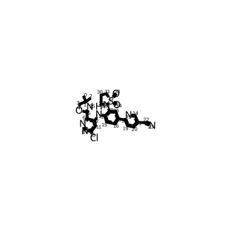 CC1(C)COC(c2nnc(Cl)cc2Nc2ccc(-c3ccc(C#N)cn3)cc2N2CCCS2(=O)=O)=N1